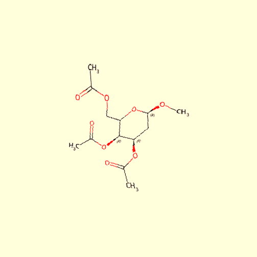 CO[C@H]1C[C@@H](OC(C)=O)[C@@H](OC(C)=O)C(COC(C)=O)O1